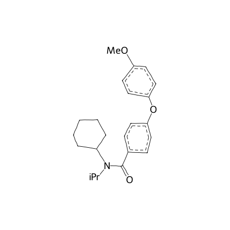 COc1ccc(Oc2ccc(C(=O)N(C(C)C)C3CCCCC3)cc2)cc1